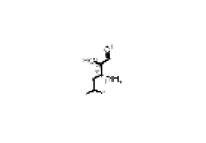 CC(C)C[C@@H](N)C(O)C=O